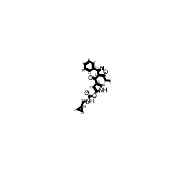 CCc1onc(-c2ccccc2)c1C(=O)c1c[nH]c(OC(=O)NCC2CC2)c1